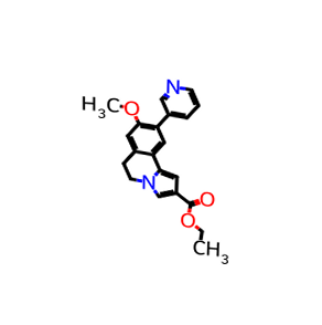 CCOC(=O)c1cc2n(c1)CCc1cc(OC)c(-c3cccnc3)cc1-2